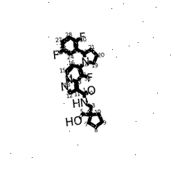 O=C(NCC1(CO)CCCC1)c1cnn2ccc(N3CCCC3c3cc(F)ccc3F)c(F)c12